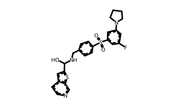 O=S(=O)(c1ccc(CNC(O)c2cc3ccncc3s2)cc1)c1cc(F)cc(N2CCCC2)c1